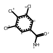 [NH]C(=O)c1cc(Cl)c(Cl)c(Cl)c1